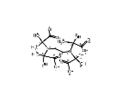 CC(O)(C(=O)O)N(CCN(C(C)(O)C(=O)O)C(C)(O)C(=O)O)C(C)(O)C(=O)O